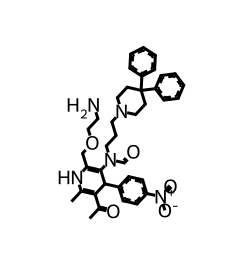 CC(=O)C1=C(C)NC(COCCN)=C(N(C=O)CCCN2CCC(c3ccccc3)(c3ccccc3)CC2)C1c1ccc([N+](=O)[O-])cc1